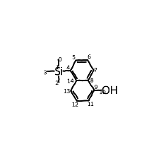 C[Si](C)(C)c1cccc2c(O)cccc12